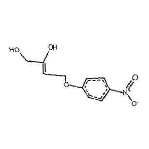 O=[N+]([O-])c1ccc(OCC=C(O)CO)cc1